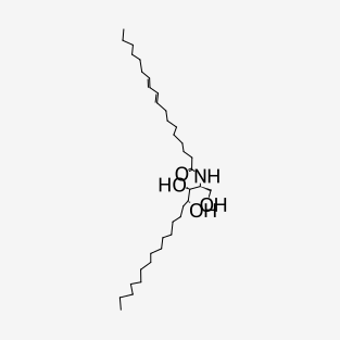 CCCCCC/C=C/C=C/CCCCCCCC(=O)N[C@@H](CO)[C@H](O)[C@H](O)CCCCCCCCCCCCCC